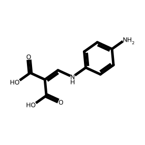 Nc1ccc(NC=C(C(=O)O)C(=O)O)cc1